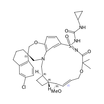 CO[C@H]1/C=C/COC(C)(C)C(=O)N=S(=O)(NC(=O)NC2CC2)c2ccc3c(c2)N(C[C@@H]2CC[C@H]21)C[C@@]1(CCCc2cc(Cl)ccc21)CO3